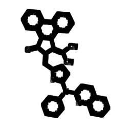 N#CC(C#N)=C1/C(=C\c2ccc(N(c3ccccc3)c3ccc4ccccc4n3)s2)C(=O)c2c1c1ccccc1c1ccccc21